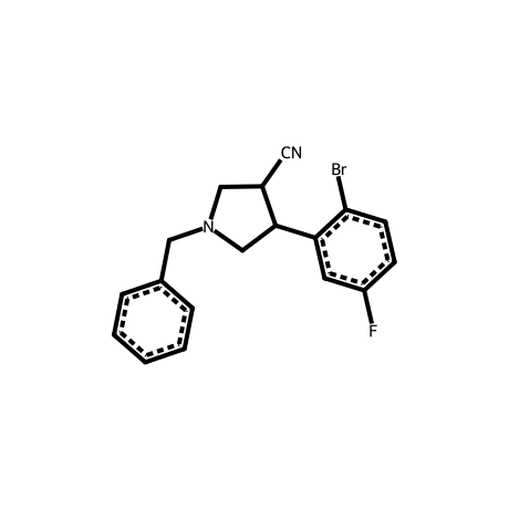 N#CC1CN(Cc2ccccc2)CC1c1cc(F)ccc1Br